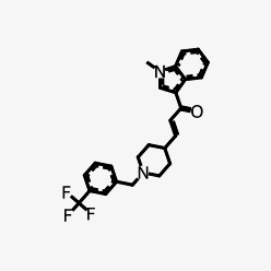 Cn1cc(C(=O)/C=C/C2CCN(Cc3cccc(C(F)(F)F)c3)CC2)c2ccccc21